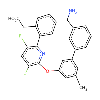 Cc1cc(Oc2nc(-c3ccccc3CC(=O)O)c(F)cc2F)cc(-c2cccc(CN)c2)c1